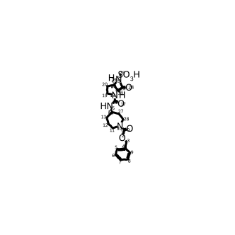 O=C(OCc1ccccc1)N1CCC[C@@H](NC(=O)N2CC[C@@H]3[C@H]2C(=O)N3S(=O)(=O)O)CC1